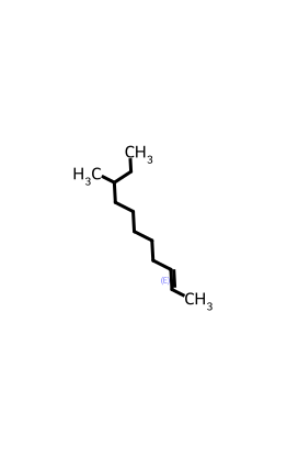 C/C=C/CCCCCC(C)CC